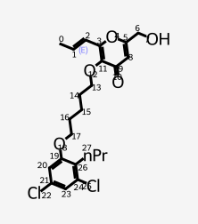 C/C=C/c1oc(CO)cc(=O)c1OCCCCCOc1cc(Cl)cc(Cl)c1CCC